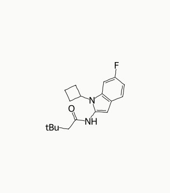 CC(C)(C)CC(=O)Nc1cc2ccc(F)cc2n1C1CCC1